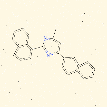 Cc1cc(-c2ccc3ccccc3c2)nc(-c2cccc3ccccc23)n1